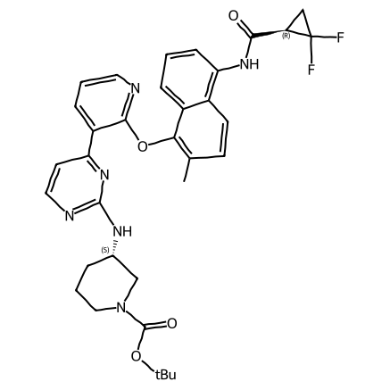 Cc1ccc2c(NC(=O)[C@H]3CC3(F)F)cccc2c1Oc1ncccc1-c1ccnc(N[C@H]2CCCN(C(=O)OC(C)(C)C)C2)n1